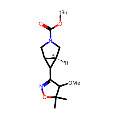 COC1C(C2C3CN(C(=O)OC(C)(C)C)C[C@H]32)=NOC1(C)C